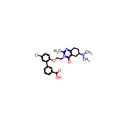 Cc1nc2c(c(=O)n1CCOc1ccc(Cl)cc1-c1cccc(C(=O)O)c1)CC(N(C)C)CC2